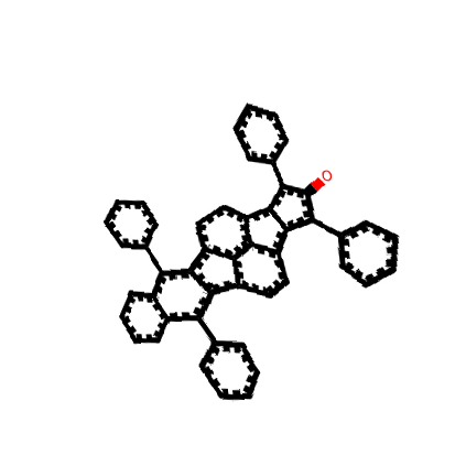 O=c1c(-c2ccccc2)c2c3ccc4c5c(-c6ccccc6)c6ccccc6c(-c6ccccc6)c5c5ccc(c-2c1-c1ccccc1)c3c45